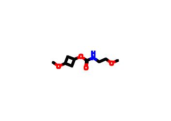 COCCNC(=O)OC1CC(OC)C1